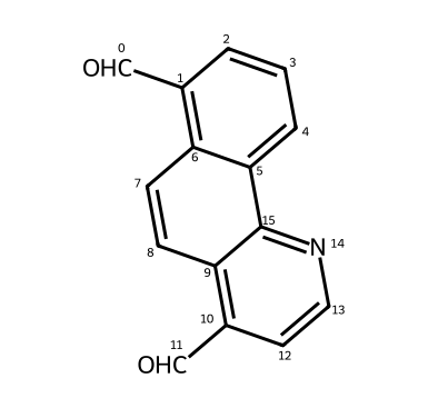 O=Cc1cccc2c1ccc1c(C=O)ccnc12